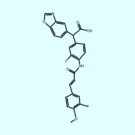 COc1ccc(C=CC(=O)Nc2ccc(C(C(=O)O)c3ccc4ocnc4c3)cc2F)cc1F